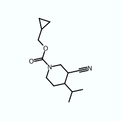 CC(C)C1CCN(C(=O)OCC2CC2)CC1C#N